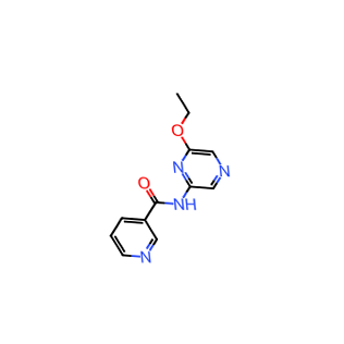 CCOc1cncc(NC(=O)c2cccnc2)n1